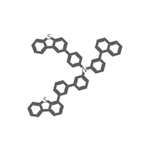 c1cc(-c2cccc(N(c3ccc(-c4ccc5sc6ccccc6c5c4)cc3)c3cccc(-c4cccc5ccccc45)c3)c2)cc(-c2cccc3c2sc2ccccc23)c1